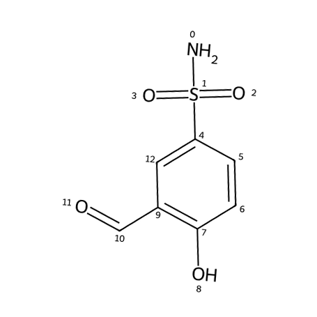 NS(=O)(=O)c1ccc(O)c(C=O)c1